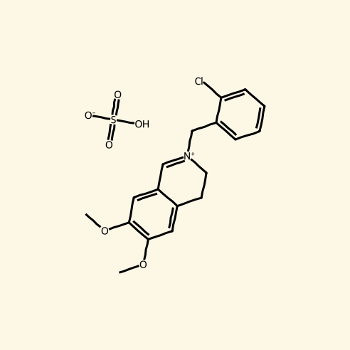 COc1cc2c(cc1OC)CC[N+](Cc1ccccc1Cl)=C2.O=S(=O)([O-])O